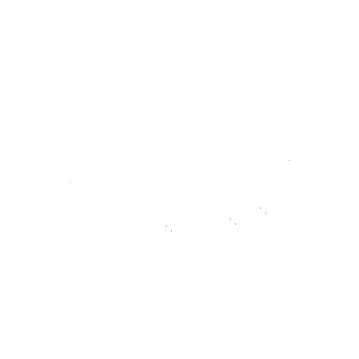 CC(C)(CBr)c1cc2n(n1)CCn1cc(C(=O)OF)c(=O)cc1-2